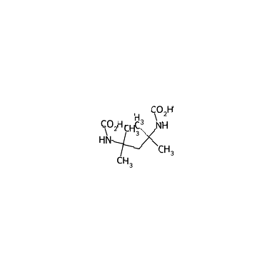 CC(C)(CC(C)(C)NC(=O)O)NC(=O)O